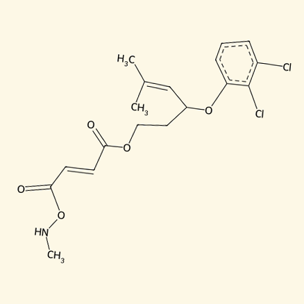 CNOC(=O)/C=C/C(=O)OCCC(C=C(C)C)Oc1cccc(Cl)c1Cl